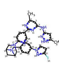 Cc1cc(Nc2cc(C)[nH]n2)nc(-c2ccc(N3CC4CC(C3)N4Cc3ccc(-n4ccc(F)n4)cc3)nc2)n1